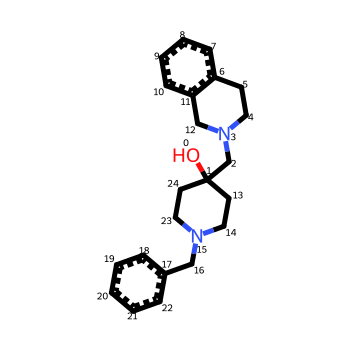 OC1(CN2CCc3ccccc3C2)CCN(Cc2ccccc2)CC1